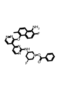 Cc1ccc2c(N)c(F)ccc2c1Oc1nnccc1-c1ccnc(N[C@H]2C[C@H](F)CN(OC(=O)c3ccccc3)C2)n1